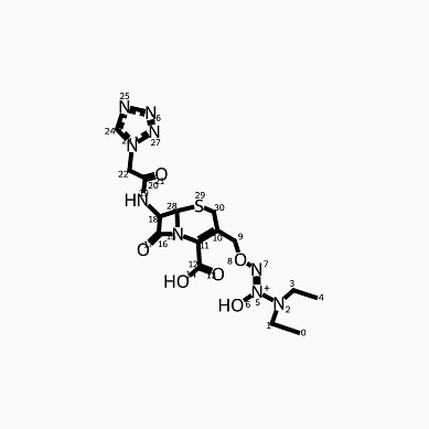 CCN(CC)/[N+](O)=N/OCC1=C(C(=O)O)N2C(=O)C(NC(=O)Cn3cnnn3)C2SC1